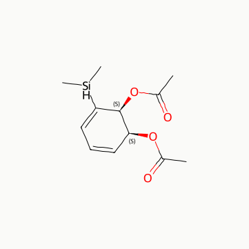 CC(=O)O[C@H]1C=CC=C([SiH](C)C)[C@H]1OC(C)=O